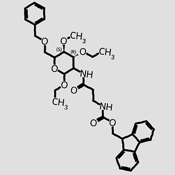 CCOC1OC(COCc2ccccc2)[C@@H](OC)[C@H](OCC)C1NC(=O)CCNC(=O)OCC1c2ccccc2-c2ccccc21